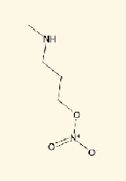 CNCCCO[N+](=O)[O-]